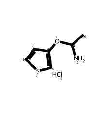 CC(N)Oc1ccsc1.Cl